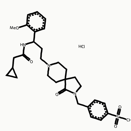 COc1ccccc1C(CCN1CCC2(CC1)CCN(Cc1ccc(S(C)(=O)=O)cc1)C2=O)NC(=O)CC1CC1.Cl